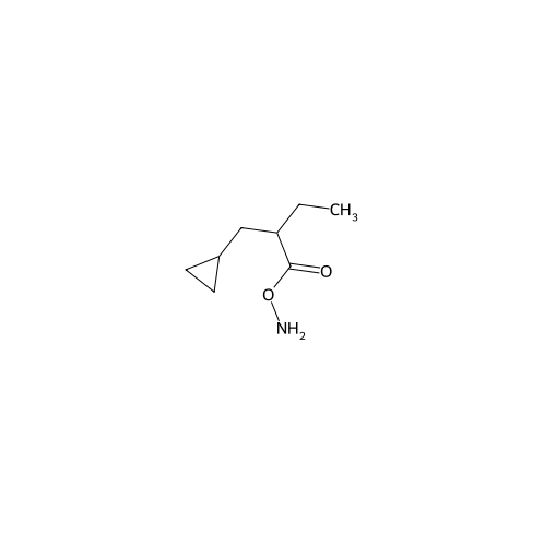 CCC(CC1CC1)C(=O)ON